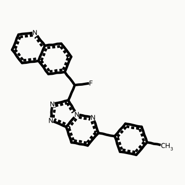 Cc1ccc(-c2ccc3nnc(C(F)c4ccc5ncccc5c4)n3n2)cc1